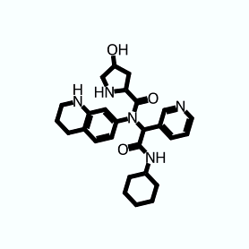 O=C(NC1CCCCC1)C(c1cccnc1)N(C(=O)C1CC(O)CN1)c1ccc2c(c1)NCCC2